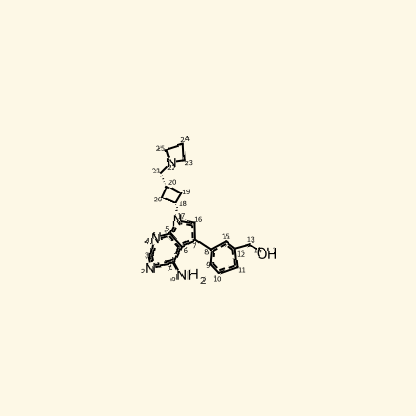 Nc1ncnc2c1c(-c1cccc(CO)c1)cn2[C@H]1C[C@@H](CN2CCC2)C1